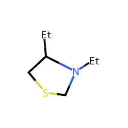 CCC1CSCN1CC